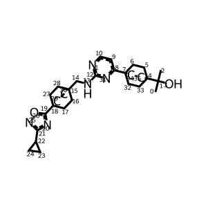 CC(C)(O)C12CCC(c3ccnc(NCC45CCC(c6nc(C7CC7)no6)(CC4)CC5)n3)(CC1)CC2